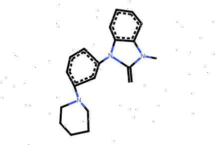 C=C1N(C)c2ccccc2N1c1cccc(N2CCCCC2)c1